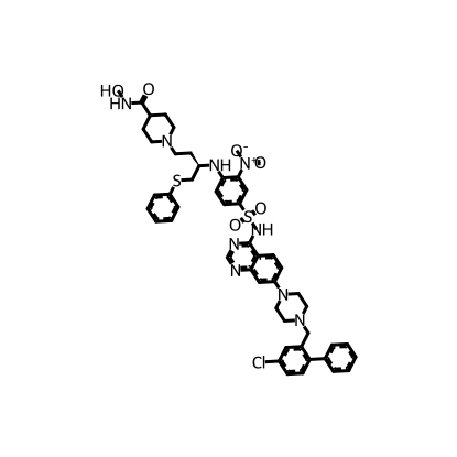 O=C(NO)C1CCN(CC[C@H](CSc2ccccc2)Nc2ccc(S(=O)(=O)Nc3ncnc4cc(N5CCN(Cc6cc(Cl)ccc6-c6ccccc6)CC5)ccc34)cc2[N+](=O)[O-])CC1